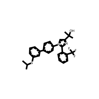 CC(C)Sc1cccc(-c2ccc(-n3cc(C(C)(C)O)nc3-c3ccccc3C(F)(F)F)cc2)c1